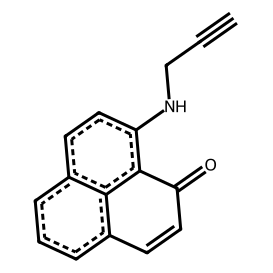 C#CCNc1ccc2cccc3c2c1C(=O)C=C3